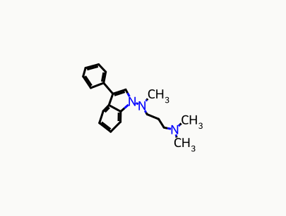 CN(C)CCCN(C)n1cc(-c2ccccc2)c2ccccc21